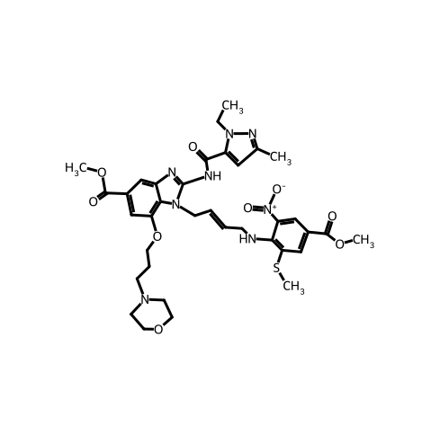 CCn1nc(C)cc1C(=O)Nc1nc2cc(C(=O)OC)cc(OCCCN3CCOCC3)c2n1CC=CCNc1c(SC)cc(C(=O)OC)cc1[N+](=O)[O-]